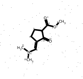 COC(=O)C1CCC(=CN(C)C)C1=O